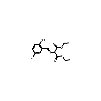 CCOC(=O)C(/N=C/c1cc(Cl)ccc1O)C(=O)OCC